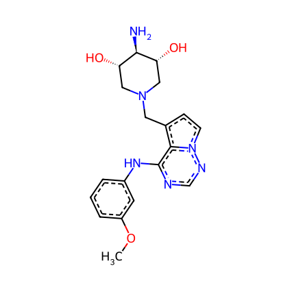 COc1cccc(Nc2ncnn3ccc(CN4C[C@@H](O)[C@H](N)[C@@H](O)C4)c23)c1